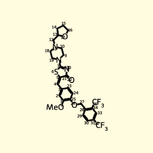 COc1cc(C=C2SC(N3CCN(CC4CCCO4)CC3)=NC2=O)ccc1OCc1ccc(C(F)(F)F)cc1C(F)(F)F